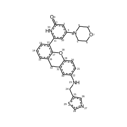 O=c1cc(N2CCOCC2)cc(-c2cccc3c2Oc2ccc(NCc4cncs4)cc2C3)[nH]1